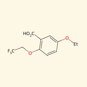 CCOc1ccc(OCC(F)(F)F)c(C(=O)O)c1